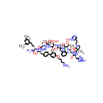 CCc1cc(OCCCCN)ccc1-c1ccc(C[C@H](NC(=O)[C@H](CC(=O)O)NC(=O)[C@H](CO)NC(=O)[C@@H](NC(=O)[C@](C)(Cc2ccccc2F)NC(=O)[C@@H](NC(=O)CNC(=O)[C@H](Cc2nn[nH]n2)NC(=O)[C@@]2(C)CCN(CCc3cnc[nH]3)C2=O)[C@@H](C)O)[C@@H](C)O)C(=O)N[C@@H](CCCc2cc(C)cc(C)c2)C(N)=O)cc1